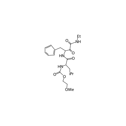 CCNC(=O)C(=O)C(Cc1ccccc1)NC(=O)C(CC(C)C)NC(=O)OCCOC